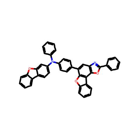 c1ccc(-c2nc3cc(-c4ccc(N(c5ccccc5)c5ccc6c(c5)oc5ccccc56)cc4)c4oc5ccccc5c4c3o2)cc1